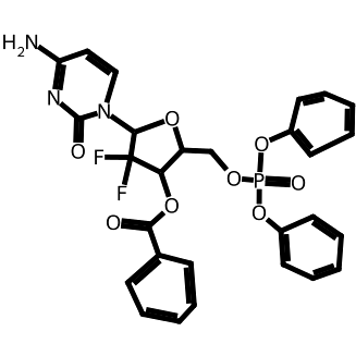 Nc1ccn(C2OC(COP(=O)(Oc3ccccc3)Oc3ccccc3)C(OC(=O)c3ccccc3)C2(F)F)c(=O)n1